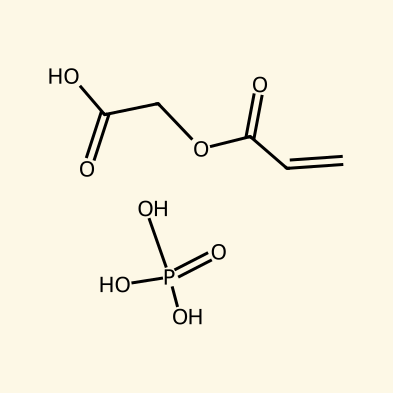 C=CC(=O)OCC(=O)O.O=P(O)(O)O